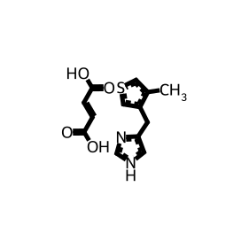 Cc1cscc1Cc1c[nH]cn1.O=C(O)C=CC(=O)O